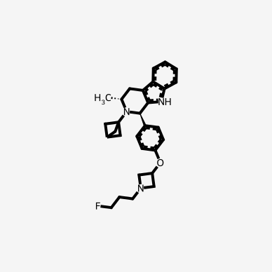 C[C@@H]1Cc2c([nH]c3ccccc23)[C@@H](c2ccc(OC3CN(CCCF)C3)cc2)N1C12CC(C1)C2